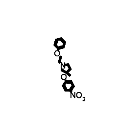 CC1(Oc2ccc([N+](=O)[O-])cc2)CCN(CCOc2ccccc2)C1